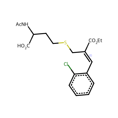 CCOC(=O)/C(=C/c1ccccc1Cl)CSCCC(NC(C)=O)C(=O)O